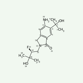 CC(C)(O)c1cc2c(cc1N)CN(C[C@H](F)C(C)(C)O)C2=O